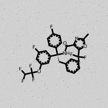 Cc1nc(C(=O)N[C@](Cc2ccccc2)(c2ccc(F)cc2)c2cc(F)cc(OC(F)(F)C(F)F)c2)c(C(F)(F)F)o1